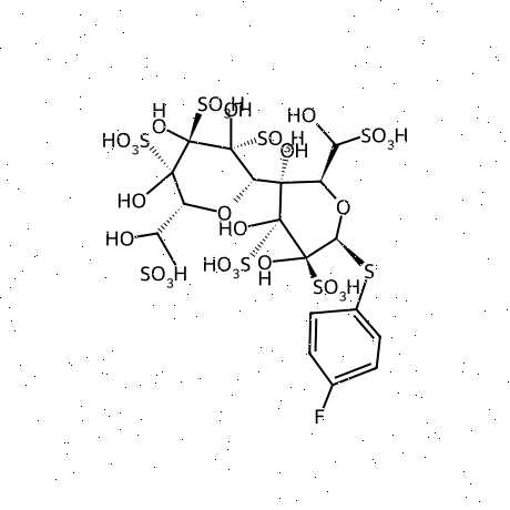 O=S(=O)(O)C(O)[C@H]1O[C@@H](Sc2ccc(F)cc2)[C@@](O)(S(=O)(=O)O)[C@](O)(S(=O)(=O)O)[C@@]1(O)[C@@H]1O[C@H](C(O)S(=O)(=O)O)[C@](O)(S(=O)(=O)O)[C@@](O)(S(=O)(=O)O)[C@]1(O)S(=O)(=O)O